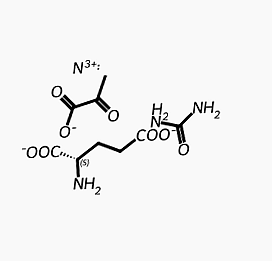 CC(=O)C(=O)[O-].NC(N)=O.N[C@@H](CCC(=O)[O-])C(=O)[O-].[N+3]